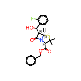 CC1(C)S[C@@H]2[C@H](C(O)c3ccccc3F)C(=O)N2[C@H]1C(=O)OCc1ccccc1